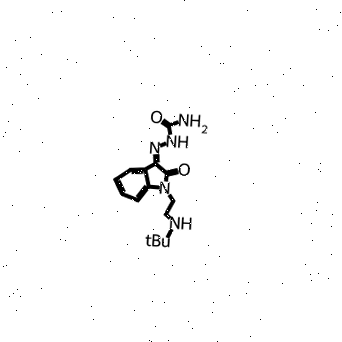 CC(C)(C)NCCN1C(=O)C(=NNC(N)=O)c2ccccc21